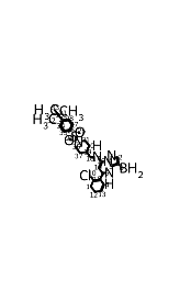 Bc1cnn2c1NC(C1=C(Cl)CCC=C1)C=C2NCC1CCN(S(=O)(=O)c2ccc(C(C)(C)C)cc2)CC1